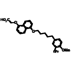 CCCc1cc(CCCCCOc2cccc3c(OCC(=O)O)cccc23)ccc1OC